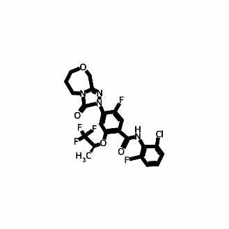 C[C@H](Oc1cc(-n2nc3n(c2=O)CCCOC3)c(F)cc1C(=O)Nc1c(F)cccc1Cl)C(F)(F)F